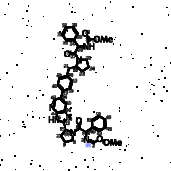 COO/C=N\[C@@H](C(=O)N1CCC[C@H]1c1nc2cc(-c3ccc(C[C@@H]4CCCN4C(=O)C(NC(=O)OC)c4ccccc4)cc3)cnc2[nH]1)c1ccccc1